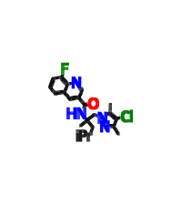 Cc1nn(CC(C)(CC(C)C)NC(=O)c2cnc3c(F)cccc3c2)c(C)c1Cl